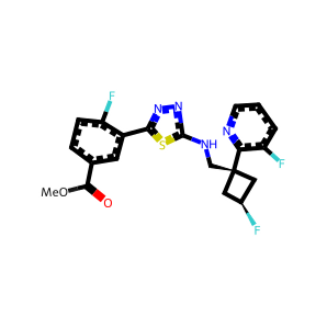 COC(=O)c1ccc(F)c(-c2nnc(NC[C@]3(c4ncccc4F)C[C@H](F)C3)s2)c1